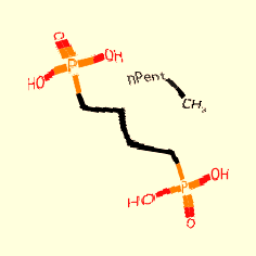 CCCCCC.O=P(O)(O)CCCCP(=O)(O)O